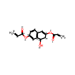 C=CC(=O)OC1=Cc2ccc(OC(=O)C=C)cc2C(O)C1